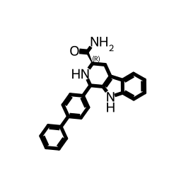 NC(=O)[C@H]1Cc2c([nH]c3ccccc23)C(c2ccc(-c3ccccc3)cc2)N1